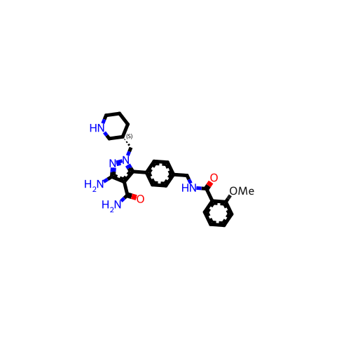 COc1ccccc1C(=O)NCc1ccc(-c2c(C(N)=O)c(N)nn2C[C@H]2CCCNC2)cc1